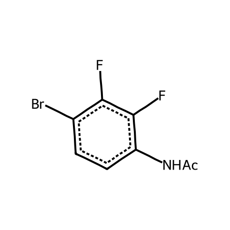 CC(=O)Nc1ccc(Br)c(F)c1F